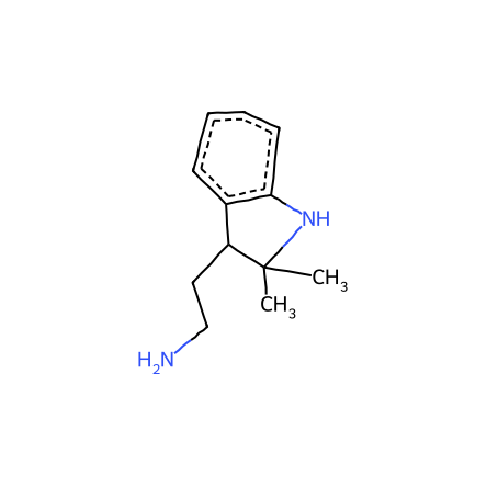 CC1(C)Nc2ccccc2C1CCN